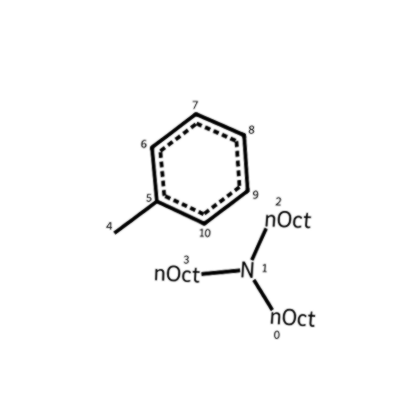 CCCCCCCCN(CCCCCCCC)CCCCCCCC.Cc1ccccc1